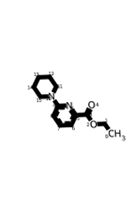 CCOC(=O)c1cccc(N2CCCCC2)n1